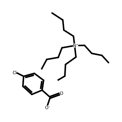 CCCC[N+](CCCC)(CCCC)CCCC.O=C([O-])c1ccc(Cl)cc1